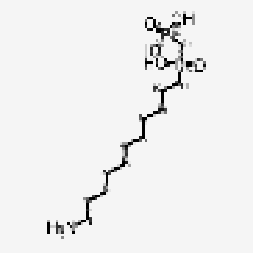 NCCCCCCCCCCCP(=O)(O)CP(=O)(O)O